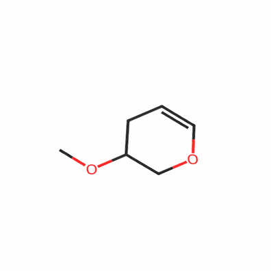 COC1CC=COC1